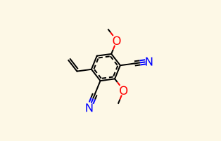 C=Cc1cc(OC)c(C#N)c(OC)c1C#N